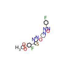 CS(=O)(=O)c1ccc(-c2csc3c(OC4CCN(c5nc(-c6ccc(F)cc6)no5)CC4)ncnc23)c(F)c1